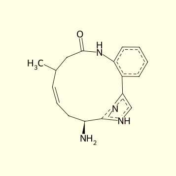 CC1C=CC[C@H](N)c2nc(c[nH]2)-c2ccccc2NC(=O)C1